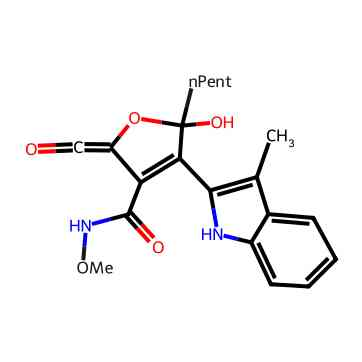 CCCCCC1(O)OC(=C=O)C(C(=O)NOC)=C1c1[nH]c2ccccc2c1C